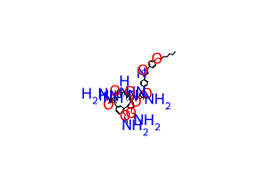 CCCCCCOc1ccc(-c2cc(-c3ccc(C(=O)N[C@@H](CCN)C(=O)N(C)[C@@H]4C(=O)N[C@@H](C)C(=O)N[C@H](C(=O)NCN)Cc5ccc(OCCN)c(c5)-c5cc4ccc5OCCN)cc3)no2)cc1